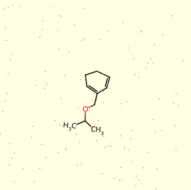 CC(C)OCC1=CCCC=C1